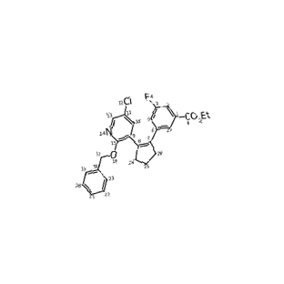 CCOC(=O)c1cc(F)cc(C2=C(c3cc(Cl)cnc3OCc3ccccc3)CCC2)c1